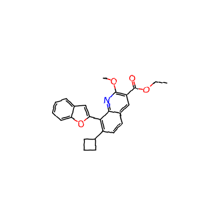 CCOC(=O)c1cc2ccc(C3CCC3)c(-c3cc4ccccc4o3)c2nc1OC